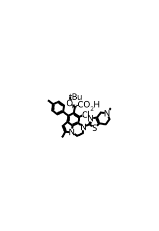 Cc1ccc(-c2c([C@H](OC(C)(C)C)C(=O)O)c(Cl)c3c4c2cc(C)n4CCN3c2nc3c(s2)CCN(C)C3)cc1